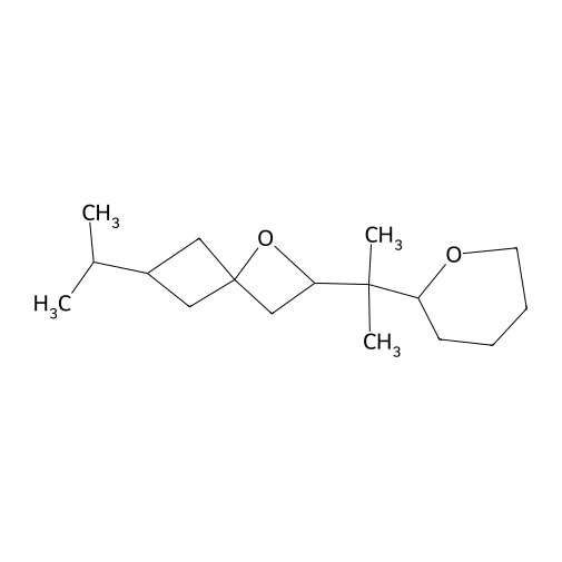 CC(C)C1CC2(C1)CC(C(C)(C)C1CCCCO1)O2